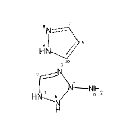 NN1N=CNN1.c1cn[nH]c1